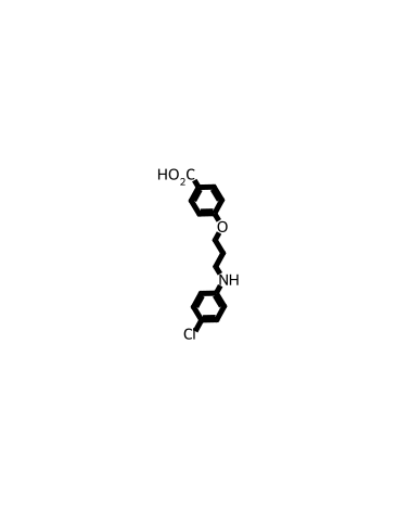 O=C(O)c1ccc(OCCCNc2ccc(Cl)cc2)cc1